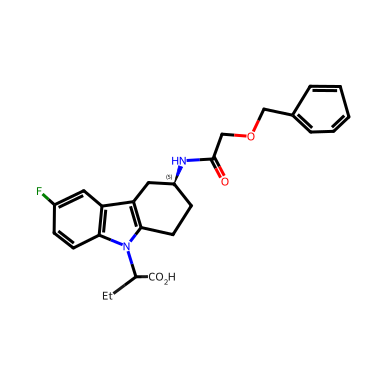 CCC(C(=O)O)n1c2c(c3cc(F)ccc31)C[C@@H](NC(=O)COCc1ccccc1)CC2